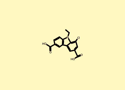 CCn1c2ccc(C(=O)O)cc2c2cc(C(=O)O)cc(Cl)c21